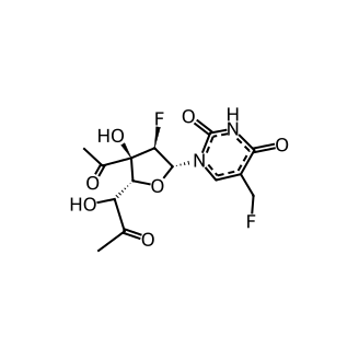 CC(=O)C(O)[C@H]1O[C@@H](n2cc(CF)c(=O)[nH]c2=O)[C@H](F)[C@@]1(O)C(C)=O